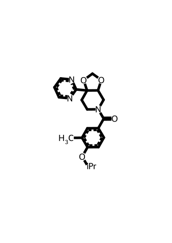 Cc1cc(C(=O)N2CCC3(c4ncccn4)OCOC3C2)ccc1OC(C)C